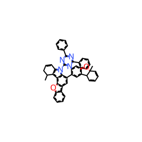 CC1CC=Cc2c1c1c3oc4ccccc4c3cc(-c3ccc4c(c3)C3C=CC=CC3(C)O4)c1n2-c1nc(-c2ccccc2)nc(-c2ccccc2)n1